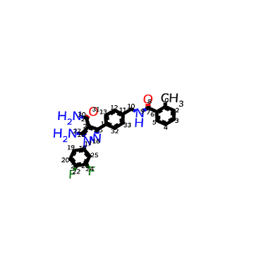 Cc1ccccc1C(=O)NCc1ccc(-c2nn(-c3ccc(F)c(F)c3)c(N)c2C(N)=O)cc1